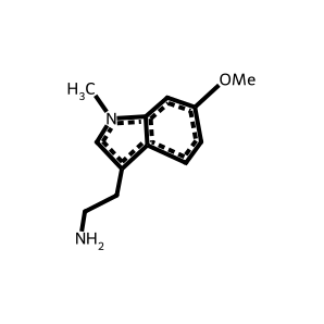 COc1ccc2c(CCN)cn(C)c2c1